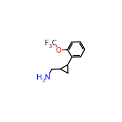 NCC1CC1c1ccccc1OC(F)(F)F